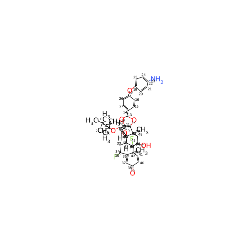 CC(C)(C)[Si](C)(C)OCC(=O)[C@@]12OC(c3ccc(Oc4ccc(N)cc4)cc3)O[C@@H]1C[C@H]1[C@@H]3C[C@H](F)C4=CC(=O)C=C[C@]4(C)[C@@]3(F)[C@@H](O)C[C@@]12C